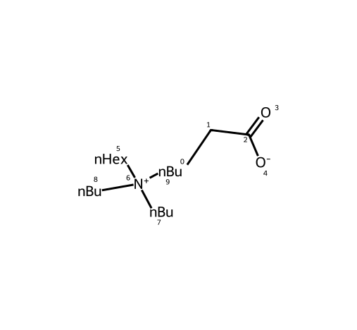 CCC(=O)[O-].CCCCCC[N+](CCCC)(CCCC)CCCC